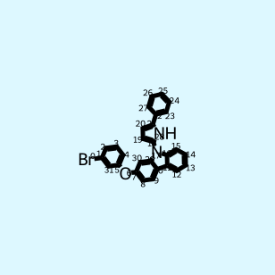 Brc1cccc(Oc2ccc3c4ccccc4n(-c4ccc(-c5ccccc5)[nH]4)c3c2)c1